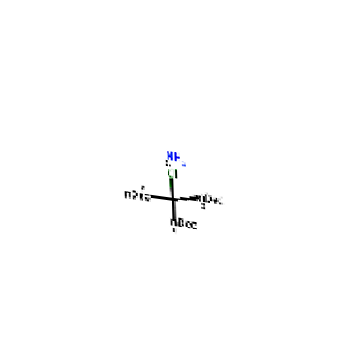 CCCCCCCCCCC(Cl)(CCCCCCCCCC)CCCCCCCCCC.N